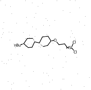 CCCC[C@H]1CC[C@H]([C@H]2CC[C@H](OCCC[SiH](Cl)Cl)CC2)CC1